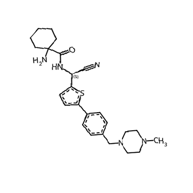 CN1CCN(Cc2ccc(-c3ccc([C@H](C#N)NC(=O)C4(N)CCCCC4)s3)cc2)CC1